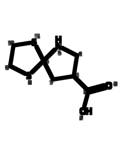 O=C(O)C1CNC2(C1)SCCS2